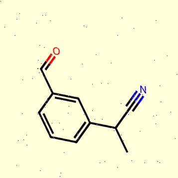 CC(C#N)c1cccc([C]=O)c1